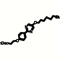 CCCCCCCCCCCCOc1ccc(-c2ncc(OCCCCCCC(C)CC)cn2)cc1